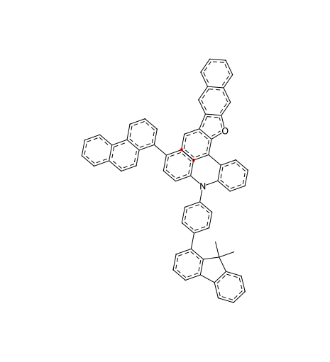 CC1(C)c2ccccc2-c2cccc(-c3ccc(N(c4ccc(-c5cccc6c5ccc5ccccc56)cc4)c4ccccc4-c4cccc5c4oc4cc6ccccc6cc45)cc3)c21